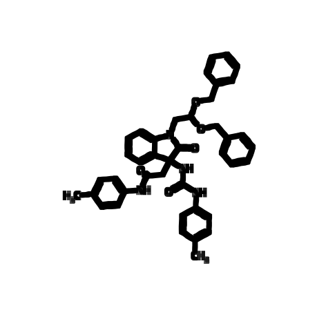 Cc1ccc(NC(=O)CC2(NC(=O)Nc3ccc(C)cc3)C(=O)N(CC(OCc3ccccc3)OCc3ccccc3)c3ccccc32)cc1